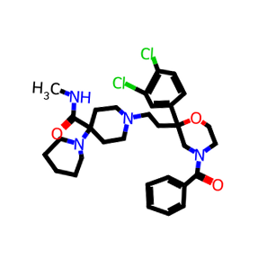 CNC(=O)C1(N2CCCCC2)CCN(CCC2(c3ccc(Cl)c(Cl)c3)CN(C(=O)c3ccccc3)CCO2)CC1